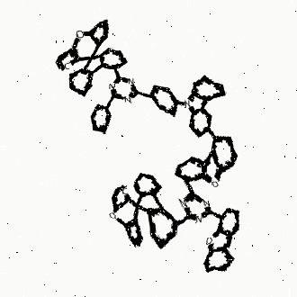 c1ccc(-c2nc(-c3ccc(-n4c5ccccc5c5cc(-c6cccc7oc8c(-c9nc(-c%10cccc%11c%10-c%10ccccc%10C%11%10c%11ccccc%11Oc%11ccccc%11%10)nc(-c%10cccc%11c%10oc%10ccccc%10%11)n9)cccc8c67)ccc54)cc3)nc(-c3cccc4c3-c3ccccc3C43c4ccccc4Oc4ccccc43)n2)cc1